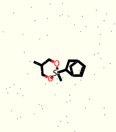 CC1CO[Si](C)(C2CC3C=CC2C3)OC1